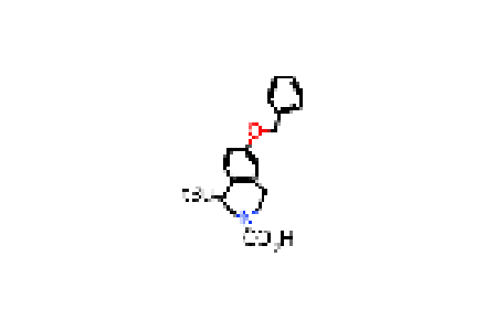 CC(C)(C)C1CN(C(=O)O)CCc2cc(OCc3ccccc3)ccc21